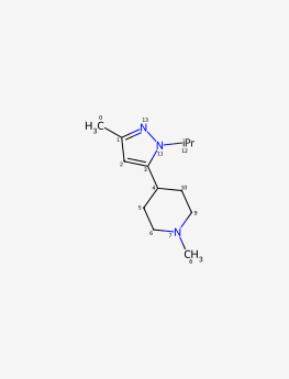 Cc1cc(C2CCN(C)CC2)n(C(C)C)n1